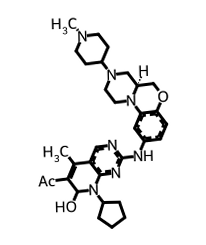 CC(=O)C1=C(C)c2cnc(Nc3ccc4c(c3)N3CCN(C5CCN(C)CC5)C[C@H]3CO4)nc2N(C2CCCC2)C1O